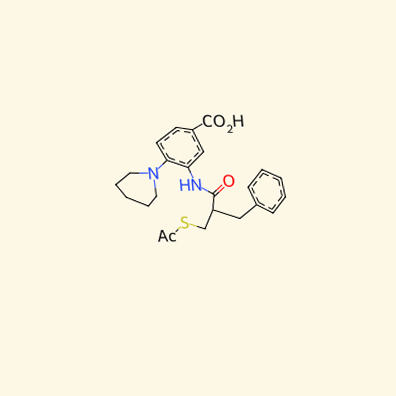 CC(=O)SCC(Cc1ccccc1)C(=O)Nc1cc(C(=O)O)ccc1N1CCCCC1